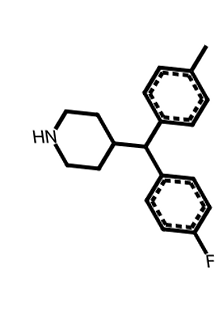 Cc1ccc(C(c2ccc(F)cc2)C2CCNCC2)cc1